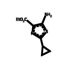 CCOC(=O)c1nc(C2CC2)sc1N